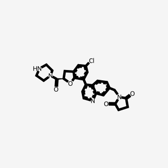 O=C([C@H]1Cc2cc(Cl)cc(-c3ccnc4cc(CN5C(=O)CCC5=O)ccc34)c2O1)N1CCNCC1